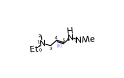 CCN(C)C/C=C/NNC